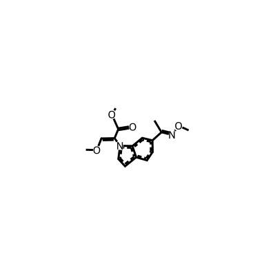 CO/C=C(/C(=O)OC)n1ccc2ccc(/C(C)=N/OC)cc21